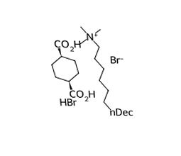 Br.CCCCCCCCCCCCCCCC[N+](C)(C)C.O=C(O)[C@H]1CC[C@@H](C(=O)O)CC1.[Br-]